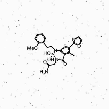 COc1ccccc1CCN1c2sc(-c3ncco3)c(C)c2C(=O)N(CC(N)=O)S1(O)O